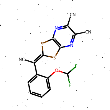 N#CC(=C1Sc2nc(C#N)c(C#N)nc2S1)c1ccccc1OC(F)F